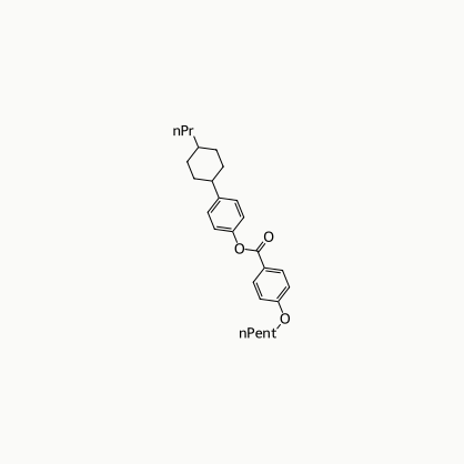 CCCCCOc1ccc(C(=O)Oc2ccc(C3CCC(CCC)CC3)cc2)cc1